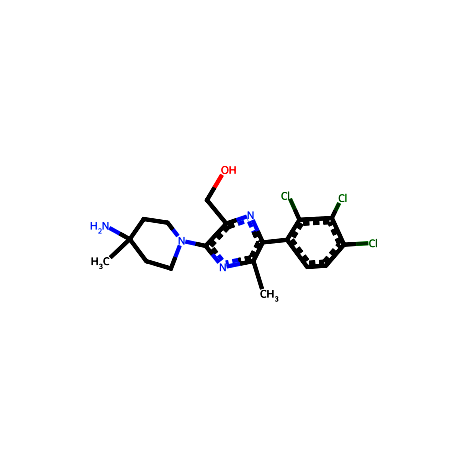 Cc1nc(N2CCC(C)(N)CC2)c(CO)nc1-c1ccc(Cl)c(Cl)c1Cl